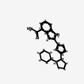 NC(=O)c1cccc2[nH]c(-c3ccc(C4CCCN4C4CCCCC4)s3)nc12